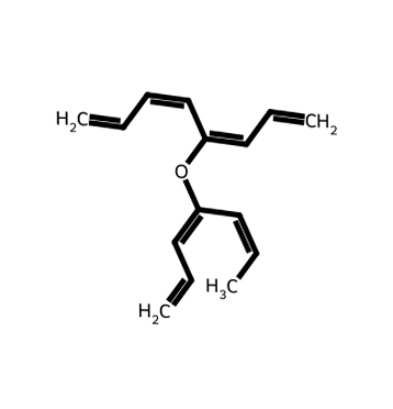 C=C/C=C\C(=C/C=C)OC(/C=C\C)=C/C=C